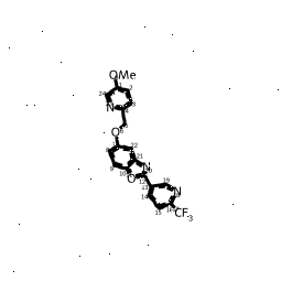 COc1ccc(COc2ccc3oc(-c4ccc(C(F)(F)F)nc4)nc3c2)nc1